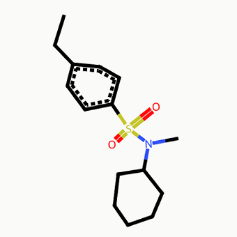 CCc1ccc(S(=O)(=O)N(C)C2CCCCC2)cc1